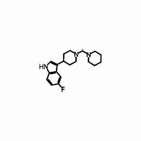 Fc1ccc2[nH]cc(C3CCN([CH]N4CCCCC4)CC3)c2c1